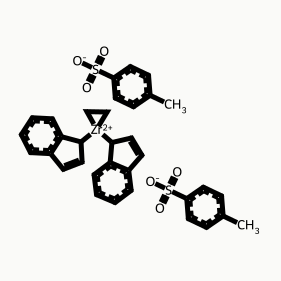 C1=C[CH]([Zr+2]2([CH]3C=Cc4ccccc43)[CH2][CH2]2)c2ccccc21.Cc1ccc(S(=O)(=O)[O-])cc1.Cc1ccc(S(=O)(=O)[O-])cc1